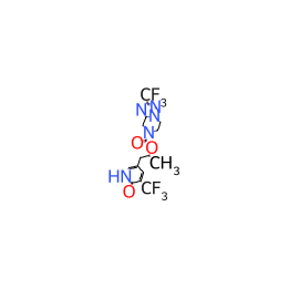 CC(Cc1c[nH]c(=O)c(C(F)(F)F)c1)OC(=O)N1CCn2nc(C(F)(F)F)nc2C1